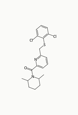 CC1CCCC(C)N1C(=O)c1cccc(CSc2c(Cl)cccc2Cl)n1